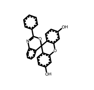 Oc1ccc2c(c1)Oc1cc(O)ccc1C21OC(c2ccccc2)=Nc2ccccc21